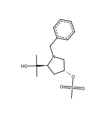 CC(C)(O)[C@@H]1C[C@@H](OS(C)(=O)=O)CN1Cc1ccccc1